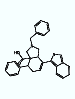 O=C(O)C12CN(Cc3ccccc3)CC1C(c1scc3ccccc13)=CCC2c1ccccc1